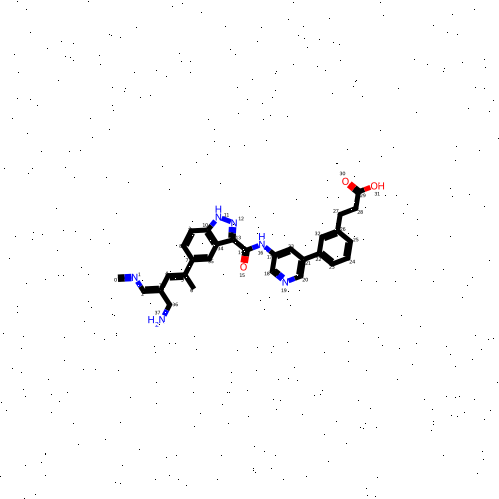 C=N/C=C(\C=C(/C)c1ccc2[nH]nc(C(=O)Nc3cncc(-c4cccc(CCC(=O)O)c4)c3)c2c1)CN